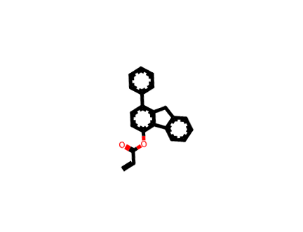 C=CC(=O)Oc1ccc(-c2ccccc2)c2c1-c1ccccc1C2